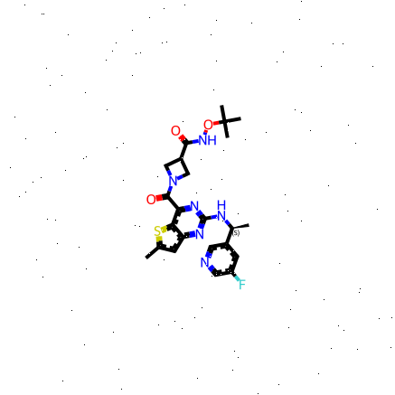 Cc1cc2nc(N[C@@H](C)c3cncc(F)c3)nc(C(=O)N3CC(C(=O)NOC(C)(C)C)C3)c2s1